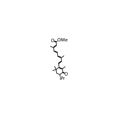 COC(=O)C=C(C)C=CC=C(C)C=CC1=C(C)C(=O)C(C(C)C)CC1(C)C